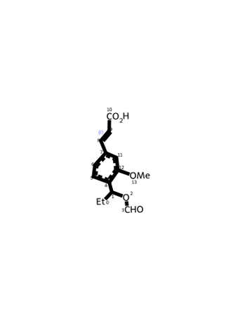 CCC(OC=O)c1ccc(/C=C/C(=O)O)cc1OC